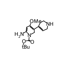 COC1=C(C2=CCNCC2)CN(C(=O)OC(C)(C)C)C(N)=C1